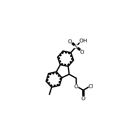 Cc1ccc2c(c1)C(COC(=O)Cl)c1cc(S(=O)(=O)O)ccc1-2